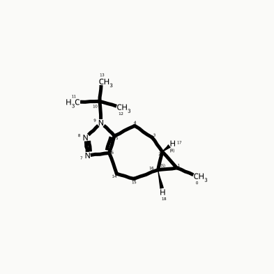 CC1[C@H]2CCc3c(nnn3C(C)(C)C)CC[C@@H]12